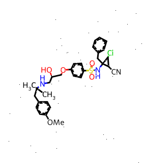 COc1ccc(CC(C)(C)NC[C@@H](O)COc2ccc(S(=O)(=O)NC3(Cc4ccccc4)C(Cl)C3C#N)cc2)cc1